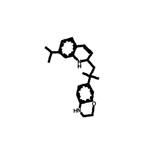 CC(C)c1ccc2c(c1)NC(CC(C)(C)c1ccc3c(c1)OCCN3)C=C2